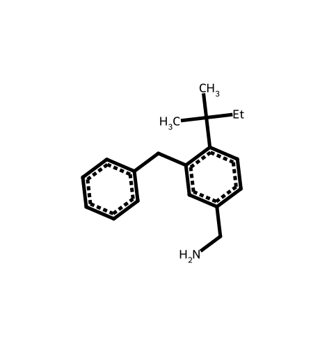 CCC(C)(C)c1ccc(CN)cc1Cc1ccccc1